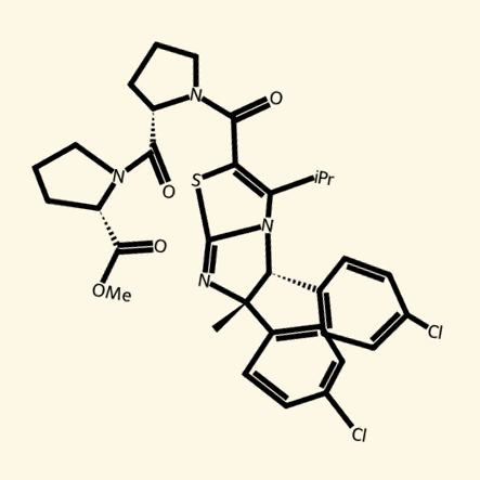 COC(=O)[C@@H]1CCCN1C(=O)[C@@H]1CCCN1C(=O)C1=C(C(C)C)N2C(=N[C@@](C)(c3ccc(Cl)cc3)[C@H]2c2ccc(Cl)cc2)S1